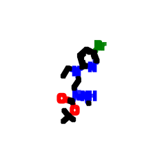 CCN(CCN(NC)C(=O)OC(C)(C)C)c1ccc(Br)cn1